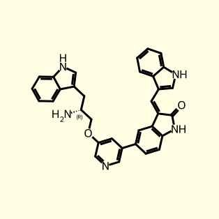 N[C@@H](COc1cncc(-c2ccc3c(c2)C(=Cc2c[nH]c4ccccc24)C(=O)N3)c1)Cc1c[nH]c2ccccc12